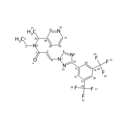 CCN(C(=O)C=Cn1cnc(-c2cc(C(F)(F)F)cc(C(F)(F)F)c2)n1)C(C)c1cccnc1